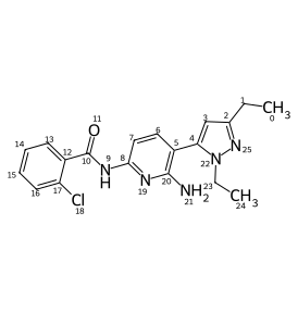 CCc1cc(-c2ccc(NC(=O)c3ccccc3Cl)nc2N)n(CC)n1